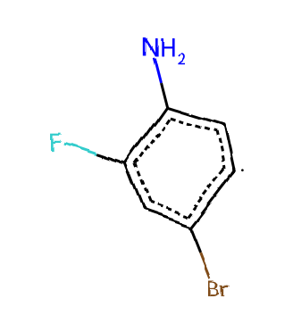 Nc1c[c]c(Br)cc1F